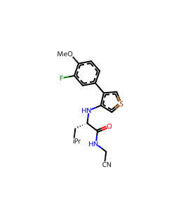 COc1ccc(-c2cscc2N[C@@H](CC(C)C)C(=O)NCC#N)cc1F